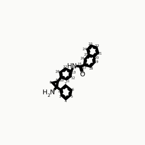 NC1(c2ccccc2)CC1c1ccc(NC(=O)c2ccc3ccccc3c2)cc1